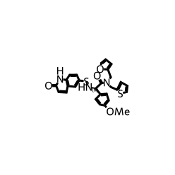 COc1ccc([C@@H](NSc2ccc3[nH]c(=O)ccc3c2)C(=O)N(Cc2ccco2)Cc2cccs2)cc1